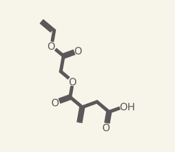 C=COC(=O)COC(=O)C(=C)CC(=O)O